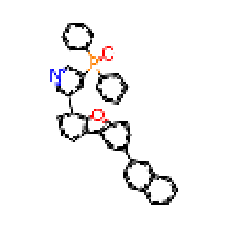 O=P(c1ccccc1)(c1ccccc1)c1cncc(-c2cccc3c2oc2ccc(-c4ccc5ccccc5c4)cc23)c1